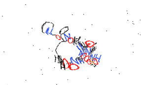 C=C[C@@H]1C[C@]1(NC(=O)[C@@H]1C[C@@H]2CN1C(=O)[C@H](C(C)(C)C)NC(=O)O[C@@H]1C[C@H]1CCCCCc1c(nc3ccccc3c1OCCN1CCCCC1)O2)C(=O)NS(=O)(=O)C1(C)CC1